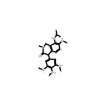 COc1cc(C2C(=O)N(C)Cc3c2ccc(OC)c3OC(C)C)cc(OC)c1OC